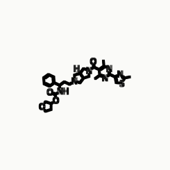 Cc1nc(-c2nc(C)c(C(=O)N3CC4CN(CCC(NC(=O)OC5CCOC5)c5ccccc5)C[C@H]4C3)c(C)n2)cs1